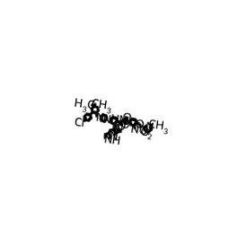 CN1CCO[C@H](COc2ccc(S(=O)(=O)NC(=O)c3ccc(N4CCN(CC5=C(c6ccc(Cl)cc6)CC(C)(C)CC5)CC4)cc3-n3ncc4nc5[nH]ccc5cc43)cc2[N+](=O)[O-])C1